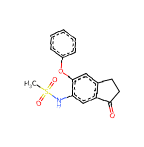 CS(=O)(=O)Nc1cc2c(cc1Oc1ccccc1)CCC2=O